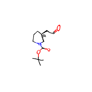 CC(C)(C)OC(=O)N1CCC[C@@H](CC=O)C1